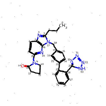 CCCc1nc2ccc(N3CCCC3=O)nc2n1Cc1ccc(-c2ccccc2-c2nnn[nH]2)cc1